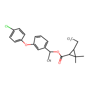 CC1(C)C(CC(Cl)(Cl)Cl)C1C(=O)OC(C#N)c1cccc(Oc2ccc(Cl)cc2)c1